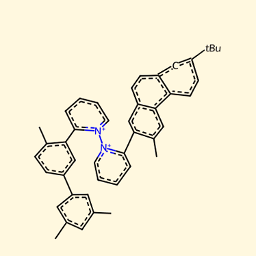 Cc1cc(C)cc(-c2ccc(C)c(-c3cccc[n+]3-[n+]3ccccc3-c3cc4ccc5cc(C(C)(C)C)ccc5c4cc3C)c2)c1